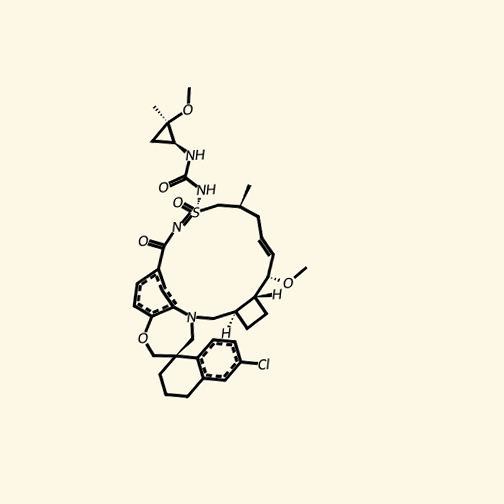 CO[C@H]1/C=C/C[C@H](C)C[S@@](=O)(NC(=O)N[C@H]2C[C@@]2(C)OC)=NC(=O)c2ccc3c(c2)N(C[C@@H]2CC[C@H]21)C[C@@]1(CCCc2cc(Cl)ccc21)CO3